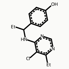 CCc1ncnc(NC(CC)c2ccc(O)cc2)c1Cl